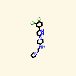 Clc1ccc(-c2ccc(N3CCC(NCCN4CCCC4)CC3)nn2)cc1Cl